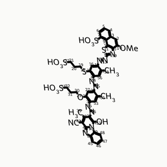 COc1cc2cccc(S(=O)(=O)O)c2c2sc(N=Nc3cc(SCCCS(=O)(=O)O)c(N=Nc4cc(OCCCS(=O)(=O)O)c(N=Nc5c(C)c(C#N)c6nc7ccccc7n6c5O)cc4C)cc3C)nc12